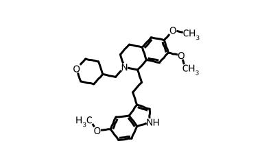 COc1ccc2[nH]cc(CCC3c4cc(OC)c(OC)cc4CCN3CC3CCOCC3)c2c1